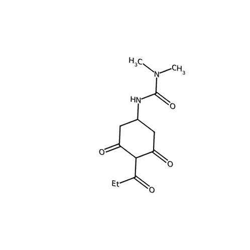 CCC(=O)C1C(=O)CC(NC(=O)N(C)C)CC1=O